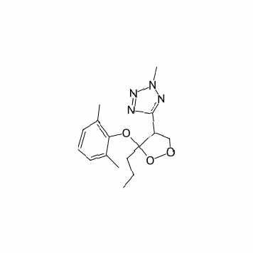 CCCC1(Oc2c(C)cccc2C)OOCC1c1nnn(C)n1